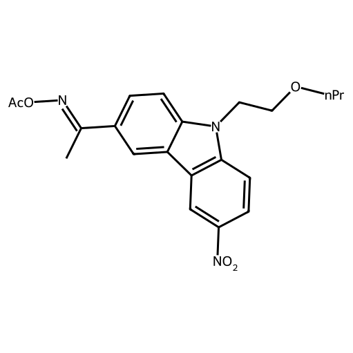 CCCOCCn1c2ccc(/C(C)=N/OC(C)=O)cc2c2cc([N+](=O)[O-])ccc21